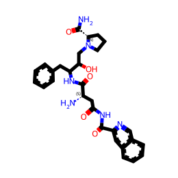 NC(=O)[C@@H]1CCCN1CC(O)C(Cc1ccccc1)NC(=O)[C@@H](N)CC(=O)NC(=O)c1cc2ccccc2cn1